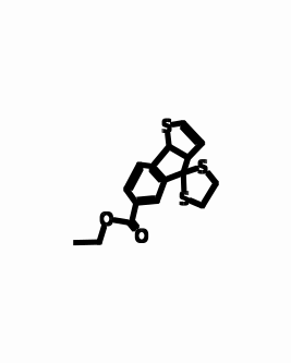 CCOC(=O)c1ccc2c(c1)C1(SCCS1)C1C=CSC21